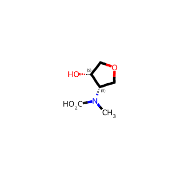 CN(C(=O)O)[C@H]1COC[C@H]1O